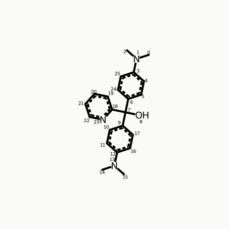 CN(C)c1ccc(C(O)(c2ccc(N(C)C)cc2)c2ccccn2)cc1